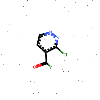 O=C(Cl)c1ccnnc1Cl